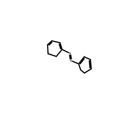 C1=CCCC(/N=N/C2=CC=CCC2)=C1